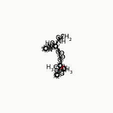 C=CC(=O)NCc1cc(COC(=O)CC(=O)OCc2cc(C)c(C(=O)P(=O)(c3ccccc3)c3ccccc3)c(C)c2)cc(-n2nc3ccccc3n2)c1O